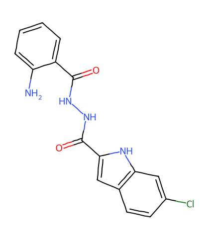 Nc1ccccc1C(=O)NNC(=O)c1cc2ccc(Cl)cc2[nH]1